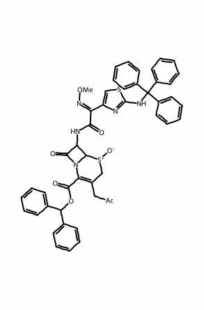 CON=C(C(=O)NC1C(=O)N2C(C(=O)OC(c3ccccc3)c3ccccc3)=C(CC(C)=O)C[S+]([O-])C12)c1csc(NC(c2ccccc2)(c2ccccc2)c2ccccc2)n1